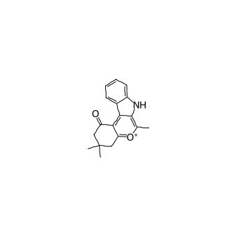 Cc1[o+]c2c(c3c1[nH]c1ccccc13)C(=O)CC(C)(C)C2